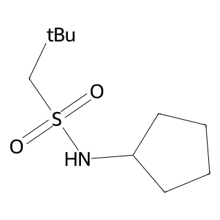 CC(C)(C)CS(=O)(=O)NC1CCCC1